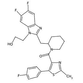 Cc1nc(C(=O)N2CCCCC2Cc2nc3cc(F)c(F)cc3n2CCO)c(-c2ccc(F)cc2)s1